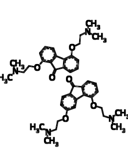 CN(C)CCOc1ccc2c(c1)-c1c(OCCN(C)C)cccc1C2=O.CN(C)CCOc1cccc2c1C(=O)c1cccc(OCCN(C)C)c1-2